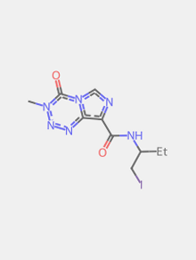 CCC(CI)NC(=O)c1ncn2c(=O)n(C)nnc12